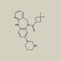 CC1(C)CC(C(=O)N2Cc3cccnc3Nc3ccc(N4CCCNC4)cc32)C1